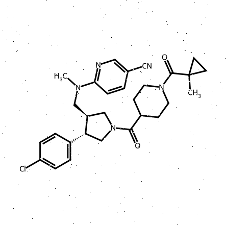 CN(C[C@H]1CN(C(=O)C2CCN(C(=O)C3(C)CC3)CC2)C[C@@H]1c1ccc(Cl)cc1)c1ccc(C#N)cn1